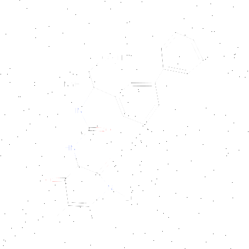 CCN1C=C(C)C(=O)C(NC(=O)NC(CC(=O)O)c2cccc(-c3ccccc3)c2)C1=O.[NaH]